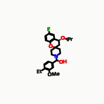 CCc1ccc(C(O)N2CCC3(CC2)C[C@@H](OC(C)C)c2cc(F)ccc2O3)cc1OC